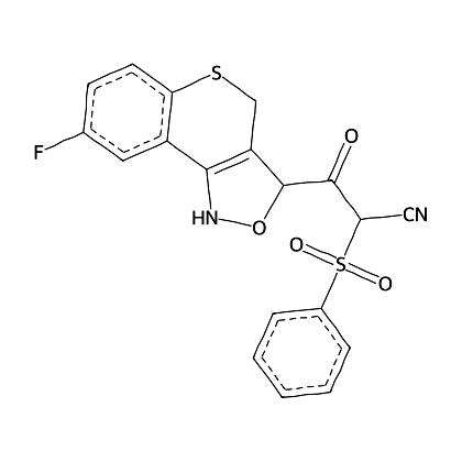 N#CC(C(=O)C1ONC2=C1CSc1ccc(F)cc12)S(=O)(=O)c1ccccc1